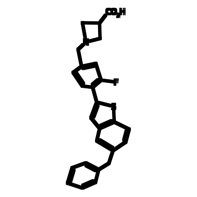 O=C(O)C1CN(Cc2ccc(-c3cc4cc(Cc5ccccc5)ccc4s3)c(F)c2)C1